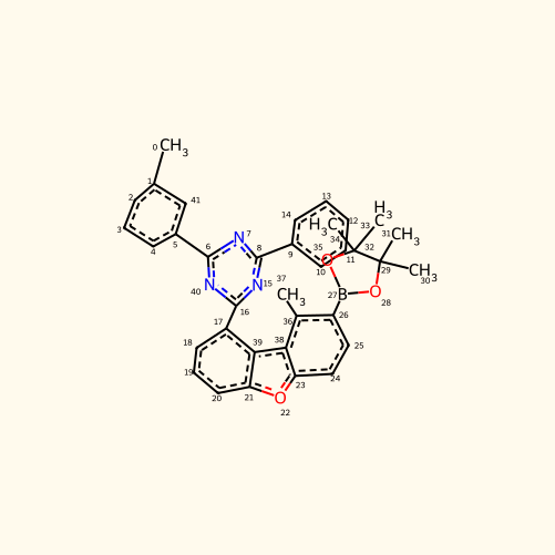 Cc1cccc(-c2nc(-c3ccccc3)nc(-c3cccc4oc5ccc(B6OC(C)(C)C(C)(C)O6)c(C)c5c34)n2)c1